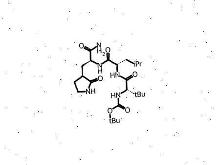 CC(C)C[C@H](NC(=O)[C@@H](NC(=O)OC(C)(C)C)C(C)(C)C)C(=O)N[C@@H](C[C@@H]1CCNC1=O)C(N)=O